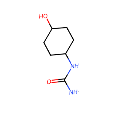 [NH]C(=O)NC1CCC(O)CC1